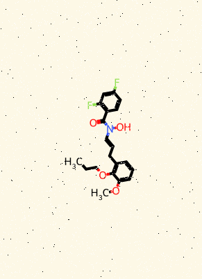 CCCOc1c(C/C=C/N(O)C(=O)c2ccc(F)cc2F)c[c]cc1OC